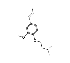 CC=Cc1ccc(OCCC(C)C)c(OC)c1